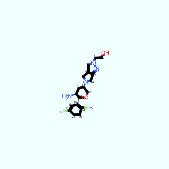 N[C@H]1C[C@@H](N2Cc3cn(CCO)nc3C2)CO[C@@H]1c1cc(F)ccc1F